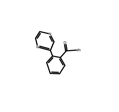 CC(C)C(=O)c1ccccc1-c1cnccn1